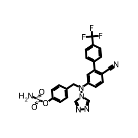 N#Cc1ccc(N(Cc2ccc(OS(N)(=O)=O)cc2)n2cnnc2)cc1-c1ccc(C(F)(F)F)cc1